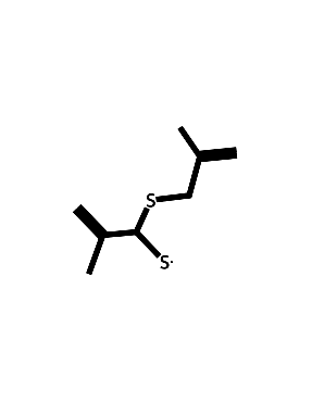 C=C(C)CSC([S])C(=C)C